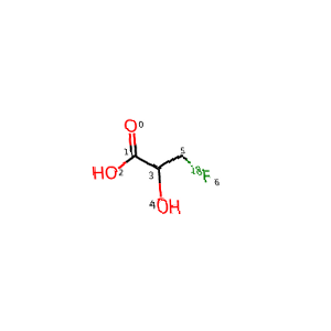 O=C(O)C(O)C[18F]